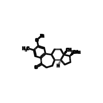 CCOc1cc2c(cc1C)C(=O)CCC1C2CC[C@]2(C)[C@@H](OC(C)=O)CC[C@@H]12